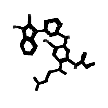 C=CC(=O)NC1=C(N(C)CCN(C)C)C=C(C(C)C)C(Nc2nccc(-n3c(=O)n(C(C)C)c4ccccc43)n2)C1